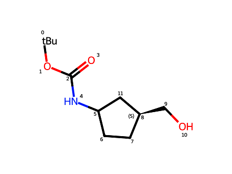 CC(C)(C)OC(=O)NC1CC[C@H](CO)C1